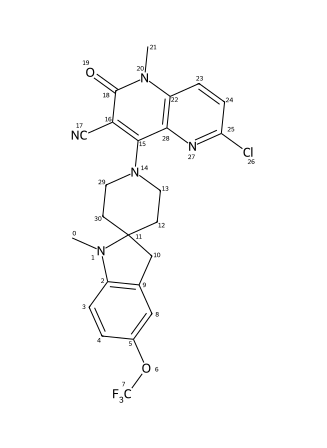 CN1c2ccc(OC(F)(F)F)cc2CC12CCN(c1c(C#N)c(=O)n(C)c3ccc(Cl)nc13)CC2